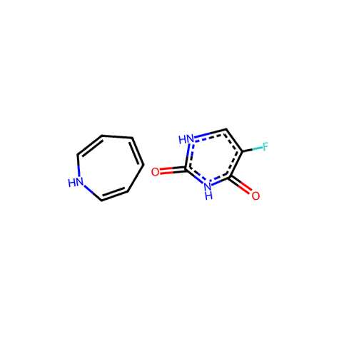 C1=CC=CNC=C1.O=c1[nH]cc(F)c(=O)[nH]1